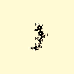 CCc1cc(O)c(F)cc1-c1ccc2c(-c3nc(CNC(=O)N4CC[C@H](O)C4)c[nH]3)n[nH]c2c1